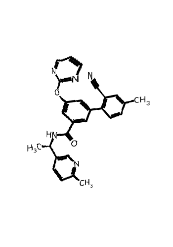 Cc1ccc(-c2cc(Oc3ncccn3)cc(C(=O)N[C@H](C)c3ccc(C)nc3)c2)c(C#N)c1